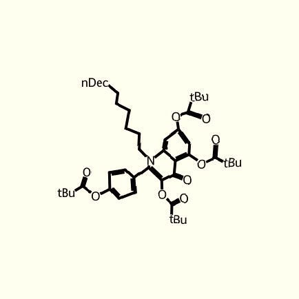 CCCCCCCCCCCCCCCCn1c(-c2ccc(OC(=O)C(C)(C)C)cc2)c(OC(=O)C(C)(C)C)c(=O)c2c(OC(=O)C(C)(C)C)cc(OC(=O)C(C)(C)C)cc21